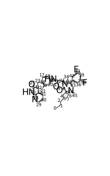 CCCCCC1(CC)C(=O)N(CC(=O)Nc2ccc3c(c2)C[C@@]2(C3)C(=O)Nc3ncccc32)[C@](C)(c2cc(F)cc(F)c2)CN1C